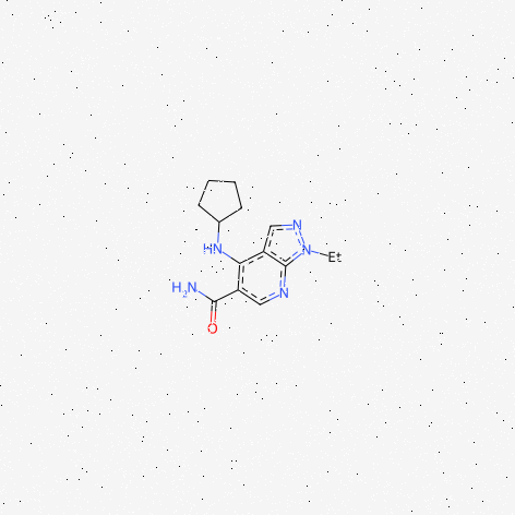 CCn1ncc2c(NC3CCCC3)c(C(N)=O)cnc21